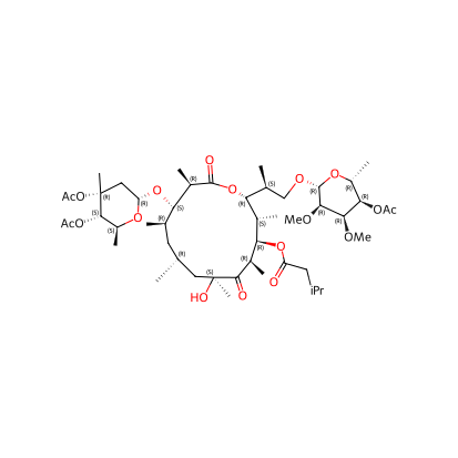 CO[C@H]1[C@@H](OC)[C@H](OC[C@H](C)[C@H]2OC(=O)[C@H](C)[C@@H](O[C@H]3C[C@@](C)(OC(C)=O)[C@@H](OC(C)=O)[C@H](C)O3)[C@H](C)C[C@@H](C)C[C@](C)(O)C(=O)[C@H](C)[C@H](OC(=O)CC(C)C)[C@H]2C)O[C@H](C)[C@H]1OC(C)=O